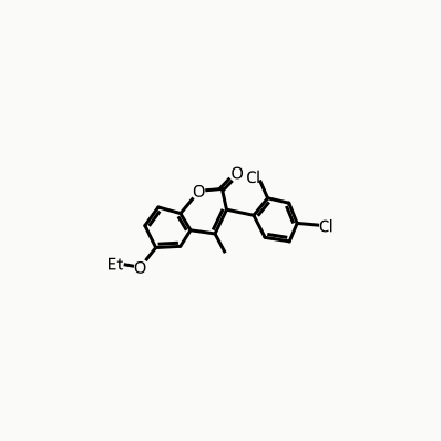 CCOc1ccc2oc(=O)c(-c3ccc(Cl)cc3Cl)c(C)c2c1